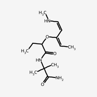 C/C=C(\C=C/NC)OC(CC)C(=O)NC(C)(C)C(N)=O